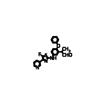 CC(C=O)c1cc(Nc2nc(-c3cccnc3)c(F)s2)ccc1Oc1ccccc1